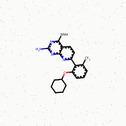 CNc1nc(N)nc2nc(-c3c(OC4CCCCC4)cccc3C(F)(F)F)ccc12